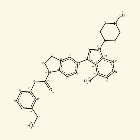 CN1CCC(n2cc(-c3ccc4c(c3)CCN4C(=O)Cc3cccc(CN)c3)c3c(N)ncnc32)CC1